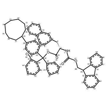 O=C(N[C@@H](Cc1ccc2ccccc2c1)C(=O)OC(c1ccccc1)(c1ccc(C2CCCCCCCC2)cc1)c1ccccc1Cl)OCC1c2ccccc2-c2ccccc21